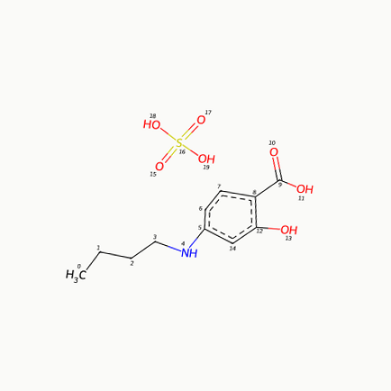 CCCCNc1ccc(C(=O)O)c(O)c1.O=S(=O)(O)O